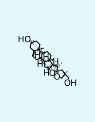 C[C@H]1[C@H]2[C@H](C[C@H]3[C@@H]4CC=C5C[C@@H](O)CC[C@]5(C)[C@H]4CC[C@]23C)O[C@]12C[C@@](C)(CO)CO2